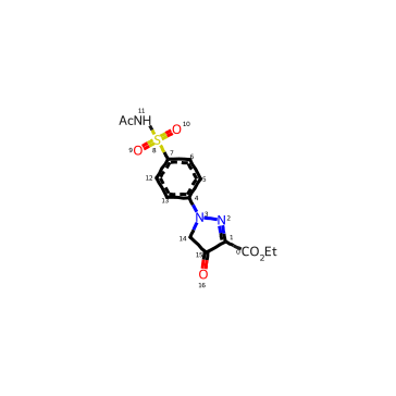 CCOC(=O)C1=NN(c2ccc(S(=O)(=O)NC(C)=O)cc2)CC1=O